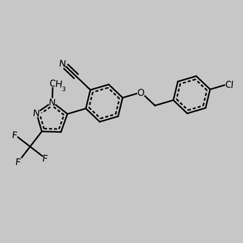 Cn1nc(C(F)(F)F)cc1-c1ccc(OCc2ccc(Cl)cc2)cc1C#N